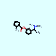 Bc1ccccc1C(=O)Oc1cccc(C(C)N(C)C)c1